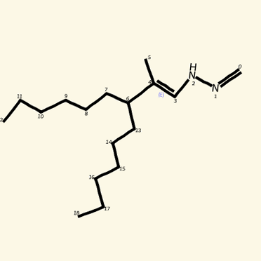 C=NN/C=C(\C)C(CCCCCC)CCCCCC